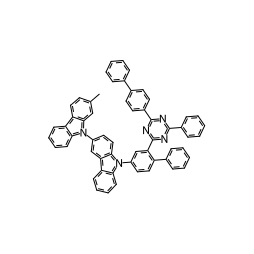 Cc1ccc2c3ccccc3n(-c3ccc4c(c3)c3ccccc3n4-c3ccc(-c4ccccc4)c(-c4nc(-c5ccccc5)nc(-c5ccc(-c6ccccc6)cc5)n4)c3)c2c1